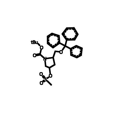 CC(C)(C)OC(=O)N1CC(OS(C)(=O)=O)CC1COC(c1ccccc1)(c1ccccc1)c1ccccc1